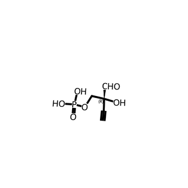 C#C[C@](O)(C=O)COP(=O)(O)O